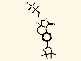 CC1(C)OB(c2ccc3c(c2)OC[C@H]2[C@H](CCC(C)(C)[Si](C)(C)O)OC(=O)N32)OC1(C)C